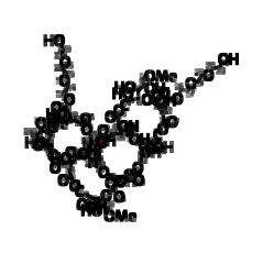 COC[C@@H](O)[C@@H](O)[C@@H]1OC(=O)C(O)(CC(=O)OCCOCCOCCO)CC(=O)OC[C@H](O)[C@@H](O)[C@@H]2OC(=O)C(O)(CC(=O)OC[C@@H]1O)CC(=O)O[C@H]1[C@@H]3OC(=O)C(O)(CC(=O)OC[C@@H](O)[C@@H](O)[C@@H]([C@@H](O)COC)OC(=O)CC(O)(CC(=O)OC[C@H]2O)C(=O)OC[C@@H]1O)CC(=O)OC[C@H](O)[C@H]([C@H](OC)[C@@H](C)O)OC(=O)C(O)(CC(=O)OCCOCCOCCO)CC(=O)OC[C@H]3O